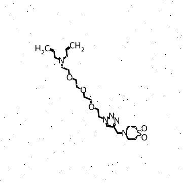 C=CCN(CC=C)CCOCCOCCOCCn1cc(CN2CCS(=O)(=O)CC2)nn1